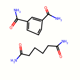 NC(=O)CCCCC(N)=O.NC(=O)c1cccc(C(N)=O)c1